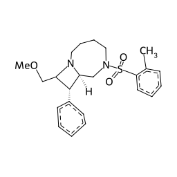 COCC1[C@@H](c2ccccc2)[C@@H]2CN(S(=O)(=O)c3ccccc3C)CCCCN12